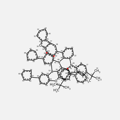 CC(C)(C)c1ccc2c(c1)c1cc(C(C)(C)C)ccc1n2-c1cccc(-c2ccc3oc4ccccc4c3c2)c1N1c2ccc(-c3ccccc3)cc2B2c3cc(-c4ccccc4)ccc3Oc3cc(-c4ccccc4)cc1c32